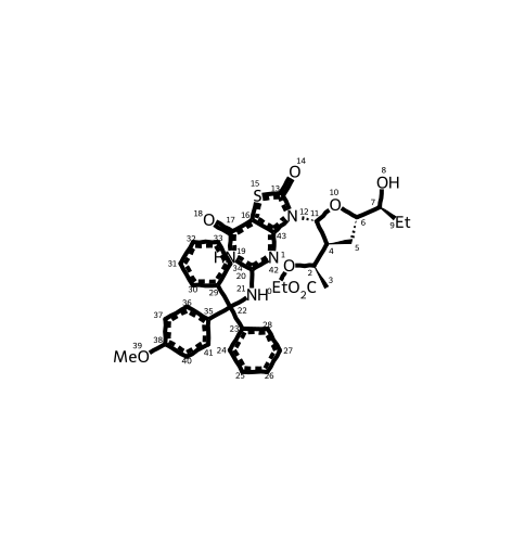 CCOC(=O)O[C@H](C)[C@@H]1C[C@@H]([C@@H](O)CC)O[C@H]1n1c(=O)sc2c(=O)[nH]c(NC(c3ccccc3)(c3ccccc3)c3ccc(OC)cc3)nc21